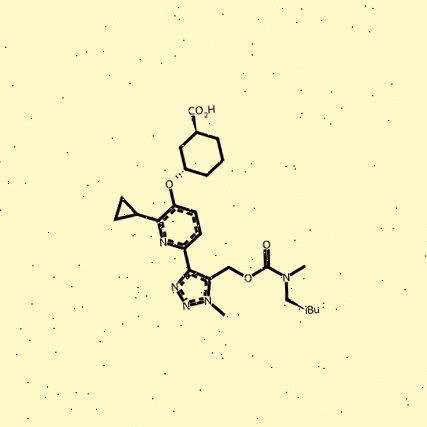 CC[C@H](C)CN(C)C(=O)OCc1c(-c2ccc(O[C@H]3CCC[C@H](C(=O)O)C3)c(C3CC3)n2)nnn1C